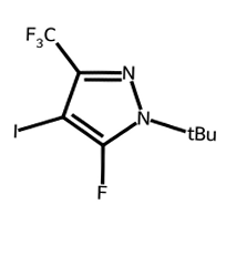 CC(C)(C)n1nc(C(F)(F)F)c(I)c1F